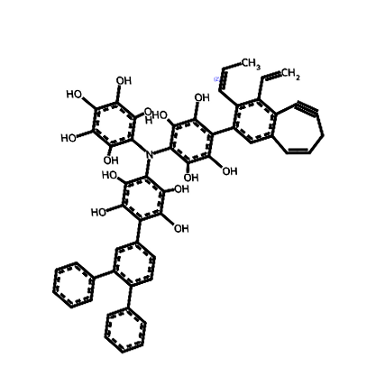 C=Cc1c2c(cc(-c3c(O)c(O)c(N(c4c(O)c(O)c(O)c(O)c4O)c4c(O)c(O)c(-c5ccc(-c6ccccc6)c(-c6ccccc6)c5)c(O)c4O)c(O)c3O)c1/C=C\C)C=CCC#C2